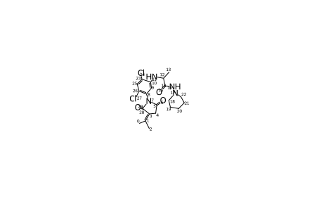 CC(C)=C1CC(=O)N(c2cc(NC(C)C(=O)NN3CCCCC3)c(Cl)cc2Cl)C1=O